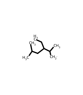 [CH2]C(C)C(CC)CC(C)C